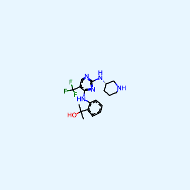 CC(C)(O)c1ccccc1Nc1nc(N[C@H]2CCCNC2)ncc1C(F)(F)F